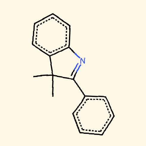 CC1(C)C(c2ccccc2)=Nc2ccccc21